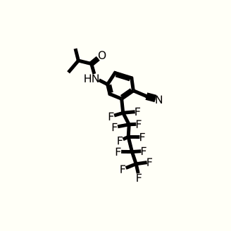 CC(C)C(=O)Nc1ccc(C#N)c(C(F)(F)C(F)(F)C(F)(F)C(F)(F)C(F)(F)F)c1